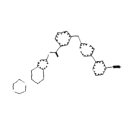 N#Cc1cccc(-c2cnc(Cc3cccc(C(=O)Nc4nc5c(s4)C[C@@H](N4CCOCC4)CC5)c3)nc2)c1